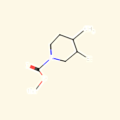 CCC1CN(C(=O)OC(C)(C)C)CCC1C